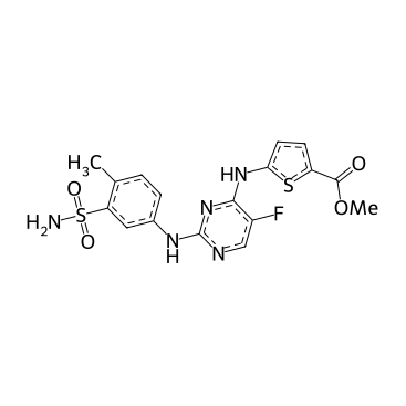 COC(=O)c1ccc(Nc2nc(Nc3ccc(C)c(S(N)(=O)=O)c3)ncc2F)s1